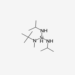 CC(C)N[SiH](NC(C)C)N(C)C(C)(C)C